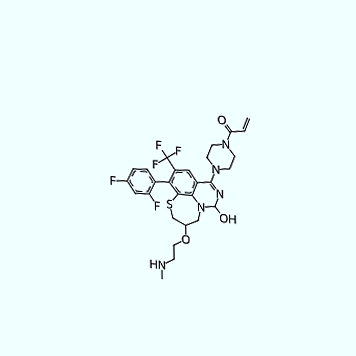 C=CC(=O)N1CCN(C2=NC(O)N3CC(OCCNC)CSc4c(-c5ccc(F)cc5F)c(C(F)(F)F)cc2c43)CC1